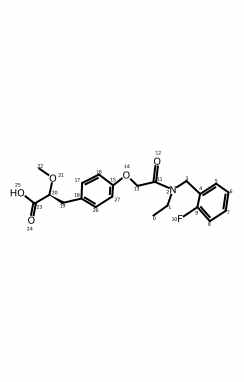 CCN(Cc1ccccc1F)C(=O)COc1ccc(C[C@H](OC)C(=O)O)cc1